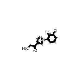 CCC(=O)c1cn(-c2cccc(Cl)c2F)nn1